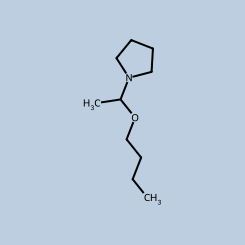 CCCCOC(C)N1CCCC1